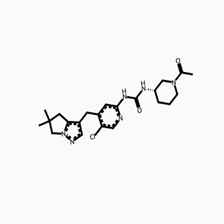 CC(=O)N1CCC[C@H](NC(=O)Nc2cc(Cc3cnn4c3CC(C)(C)C4)c(Cl)cn2)C1